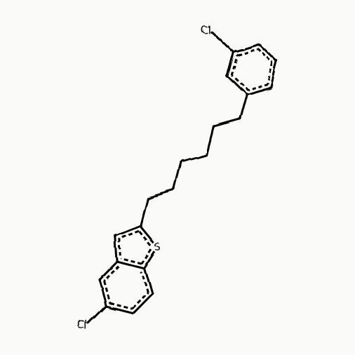 Clc1cccc(CCCCCCc2cc3cc(Cl)ccc3s2)c1